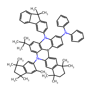 Cc1cc2c(cc1N1c3cc4c(cc3B3c5ccc(N(c6ccccc6)c6ccccc6)cc5N(c5ccc6c(c5)-c5ccccc5C6(C)C)c5cc(C(C)(C)C)cc1c53)C(C)(C)CCC4(C)C)C(C)(C)CC2(C)C